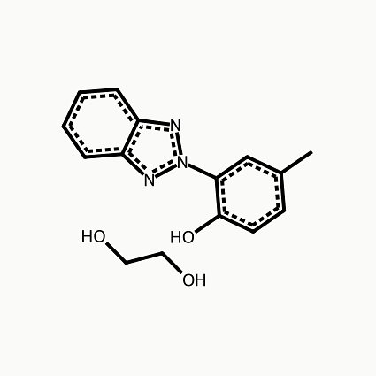 Cc1ccc(O)c(-n2nc3ccccc3n2)c1.OCCO